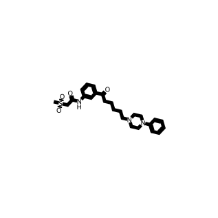 CS(=O)(=O)CC(=O)Nc1cccc(C(=O)CCCCCN2CCN(c3ccccc3)CC2)c1